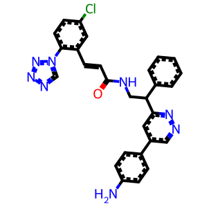 Nc1ccc(-c2cnnc(C(CNC(=O)/C=C/c3cc(Cl)ccc3-n3cnnn3)c3ccccc3)c2)cc1